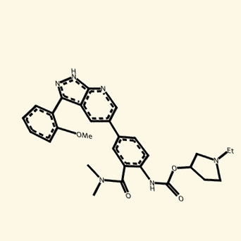 CCN1CCC(OC(=O)Nc2ccc(-c3cnc4[nH]nc(-c5ccccc5OC)c4c3)cc2C(=O)N(C)C)C1